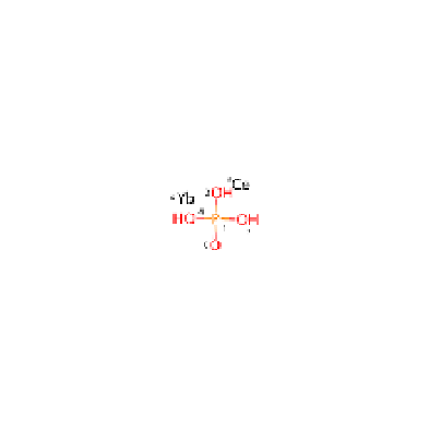 O=P(O)(O)O.[Ce].[Yb]